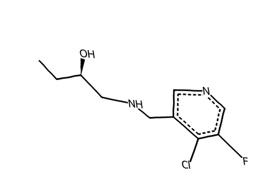 CC[C@@H](O)CNCc1cncc(F)c1Cl